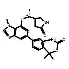 C[C@@H](Oc1nc(-c2ccc3c(c2)NC(=O)OC3(C)C)cc2ncn(C)c12)C1CNC(=O)C1